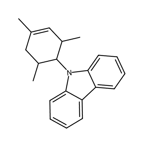 CC1=CC(C)C(n2c3ccccc3c3ccccc32)C(C)C1